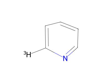 [3H]c1ccccn1